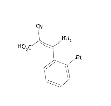 CCc1ccccc1C(N)=C(C#N)C(=O)O